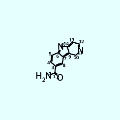 NC(=O)c1ccc2c(c1)=C1CN=CC=C1N=2